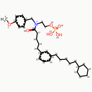 COc1ccc(CN(CCOP(=O)(O)O)C(=O)CCCCc2cccc(CCCCCC3CCCCC3)c2)cc1